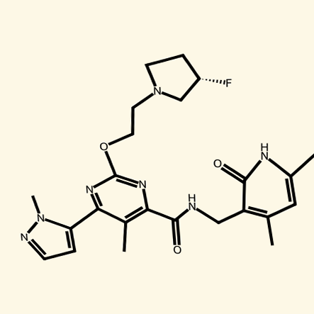 Cc1cc(C)c(CNC(=O)c2nc(OCCN3CC[C@H](F)C3)nc(-c3ccnn3C)c2C)c(=O)[nH]1